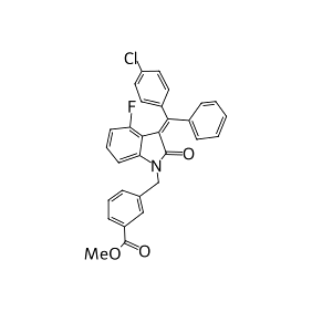 COC(=O)c1cccc(CN2C(=O)/C(=C(\c3ccccc3)c3ccc(Cl)cc3)c3c(F)cccc32)c1